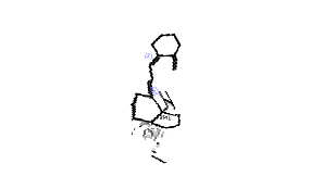 C=C1CCCC/C1=C/C=C1\CCC[C@]2(C)[C@@H](CC)CC[C@@H]12